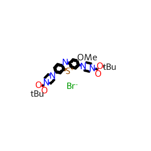 COc1cc2nc3ccc(N4CCN(C(=O)OC(C)(C)C)CC4)cc3[s+]c2cc1N1CCN(C(=O)OC(C)(C)C)CC1.[Br-]